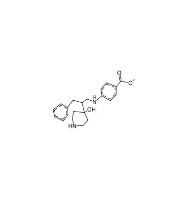 COC(=O)c1ccc(NCC(Cc2ccccc2)C2(O)CCNCC2)cc1